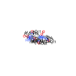 CCCCCCCCON1C(C)(C)CC(C(CCC)Nc2nc(OCC3CO3)nc(N(CCCCCCN(c3nc(NC(CCC)C4CC(C)(C)N(OCCCCCCCC)C(C)(C)C4)nc(OCC4CO4)n3)C3CC(C)(C)N(OCCCCCCCC)C(C)(C)C3)C3CC(C)(C)N(OCCCCCCCC)C(C)(C)C3)n2)CC1(C)C